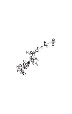 Cc1c(-c2ccc(-c3ccc4nccc(C(=O)Nc5nc6ccccc6s5)c4c3)nc2C(=O)O)cnn1CC12CC3(C)CC(C)(C1)CC(OCCN(C)C(=O)OCc1[c]cc(OCCOCCNC(=O)CCCCCN4C(=O)C=CC4=O)cc1)(C3)C2